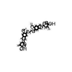 COc1cc2c(cc1OCCOc1cc3c(cc1OC)CN(C(=O)C[C@H](C)C(=O)O)C3)CN(C(=O)C[C@H](C)C(=O)O)C2